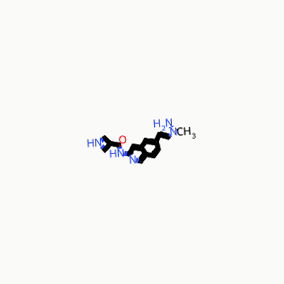 CN(N)/C=C/c1ccc2cnc(NC(=O)C3CNC3)cc2c1